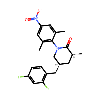 Cc1cc([N+](=O)[O-])cc(C)c1N1C[C@@H](Cc2ccc(F)cc2F)C[C@@H](C)C1=O